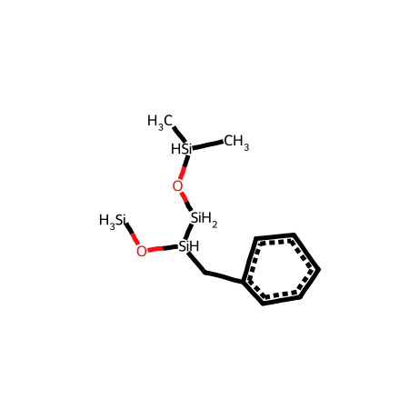 C[SiH](C)O[SiH2][SiH](Cc1ccccc1)O[SiH3]